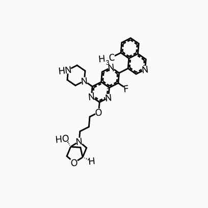 Cc1cccc2cncc(-c3ncc4c(N5CCNCC5)nc(OCCCN5C[C@@H]6C[C@@]5(O)CO6)nc4c3F)c12